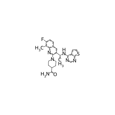 Cc1c(F)ccc2cc([C@H](C)Nc3ncnc4sccc34)c(N3CCC(C(N)=O)CC3)nc12